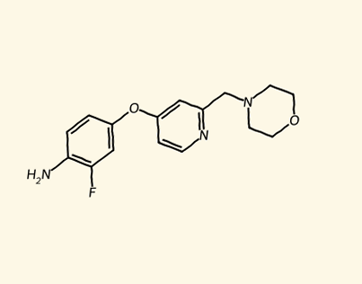 Nc1ccc(Oc2ccnc(CN3CCOCC3)c2)cc1F